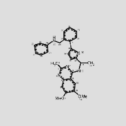 COc1cc2nc(C)nc(NC(C)c3ccc(-c4ccccc4CNc4ccccc4)s3)c2cc1OC